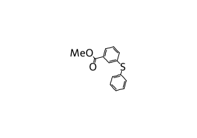 COC(=O)c1cccc(Sc2ccccc2)c1